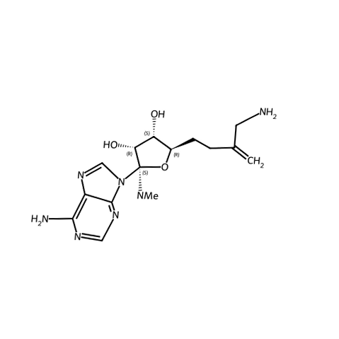 C=C(CN)CC[C@H]1O[C@@](NC)(n2cnc3c(N)ncnc32)[C@H](O)[C@@H]1O